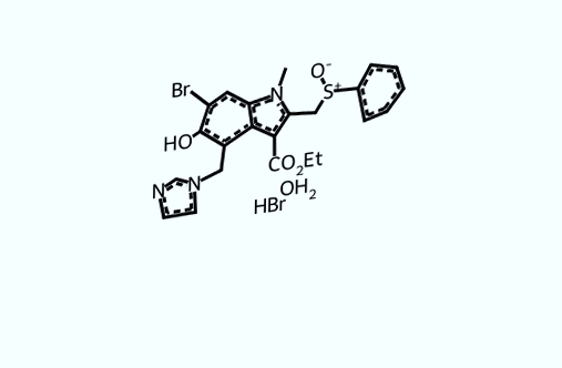 Br.CCOC(=O)c1c(C[S+]([O-])c2ccccc2)n(C)c2cc(Br)c(O)c(Cn3ccnc3)c12.O